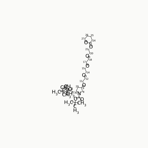 CC(C)(C)OC(=O)N1C[C@H](OCCOCCOCCOCCOC2CCCCO2)C[C@H]1CO[Si](C)(C)C(C)(C)C